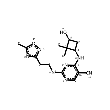 Cc1nc(CCNc2ncc(C#N)c(N[C@@H]3C[C@H](O)C3(C)C)n2)no1